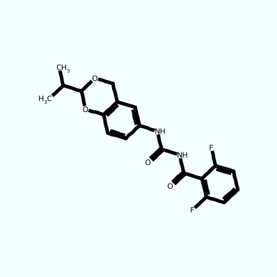 CC(C)C1OCc2cc(NC(=O)NC(=O)c3c(F)cccc3F)ccc2O1